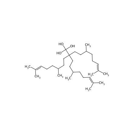 CC(C)=CCCC(C)CCC(CCC(C)CCC=C(C)C)(CCC(C)CCC=C(C)C)C(O)(O)O